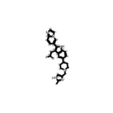 Cc1nc(CN2CCC(c3ccc4[nH]c(-c5ccc6nccn6c5)c(CC(F)F)c4c3)CC2)c[nH]1